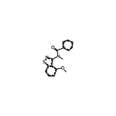 COc1cccc2snc(N(C)C(=O)c3ccccc3)c12